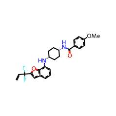 C=CC(F)(F)c1cc2cccc(N[C@H]3CC[C@@H](NC(=O)c4ccc(OC)cc4)CC3)c2o1